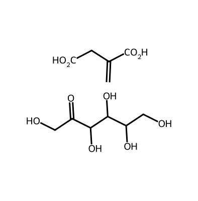 C=C(CC(=O)O)C(=O)O.O=C(CO)C(O)C(O)C(O)CO